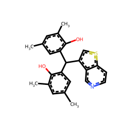 Cc1cc(C)c(O)c(C(c2cc(C)cc(C)c2O)c2csc3ccncc23)c1